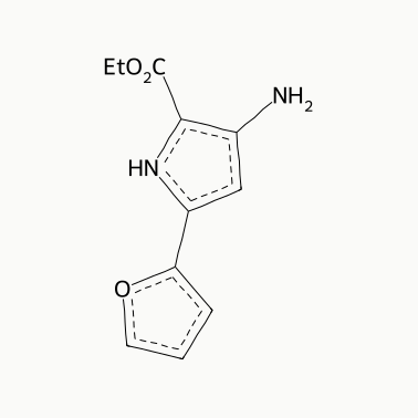 CCOC(=O)c1[nH]c(-c2ccco2)cc1N